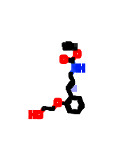 CC(C)(C)OC(=O)NC/C=C/c1ccccc1OCCO